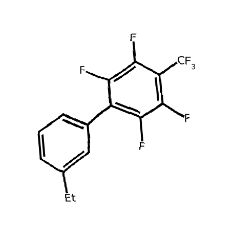 CCc1cccc(-c2c(F)c(F)c(C(F)(F)F)c(F)c2F)c1